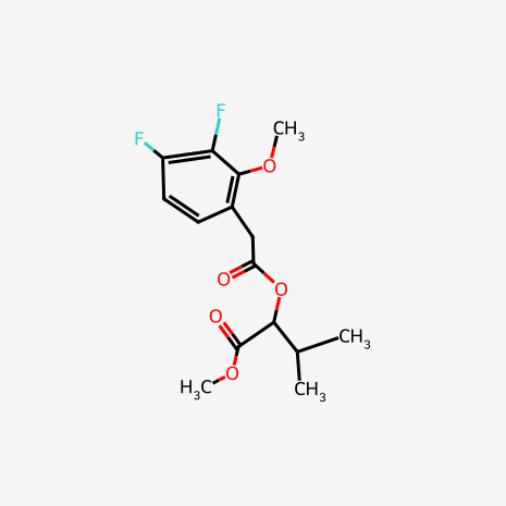 COC(=O)C(OC(=O)Cc1ccc(F)c(F)c1OC)C(C)C